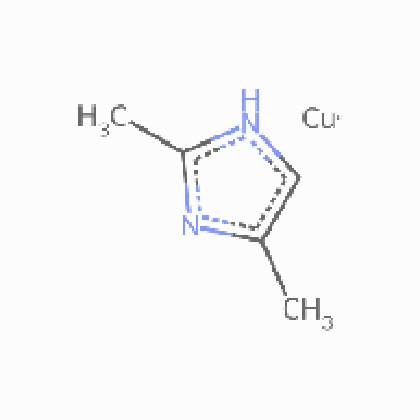 Cc1c[nH]c(C)n1.[Cu]